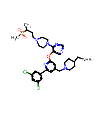 CC(=O)NCC1CCN(Cc2cc(Oc3cncnc3N3CCN(CCC(C)S(C)(=O)=O)CC3)nc(-c3cc(Cl)cc(Cl)c3)c2)CC1